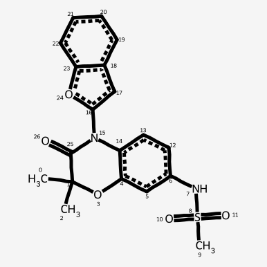 CC1(C)Oc2cc(NS(C)(=O)=O)ccc2N(c2cc3ccccc3o2)C1=O